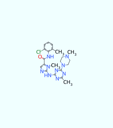 Cc1nc(Nc2ncc(C(=O)Nc3c(C)cccc3Cl)n2C)nc(N2CCN(C)CC2)n1